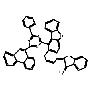 C=c1/c(=C\C=C/Cc2ccc3oc4ccccc4c3c2-c2nc(-c3ccccc3)nc(-c3cc4ccccc4c4ccccc34)n2)oc2ccccc12